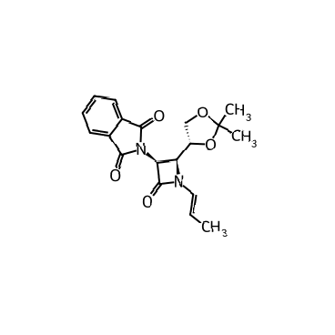 CC=CN1C(=O)[C@@H](N2C(=O)c3ccccc3C2=O)[C@H]1[C@@H]1COC(C)(C)O1